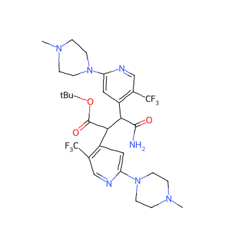 CN1CCN(c2cc(C(C(N)=O)C(C(=O)OC(C)(C)C)c3cc(N4CCN(C)CC4)ncc3C(F)(F)F)c(C(F)(F)F)cn2)CC1